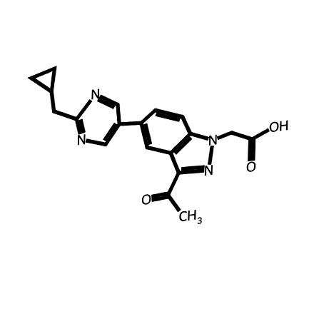 CC(=O)c1nn(CC(=O)O)c2ccc(-c3cnc(CC4CC4)nc3)cc12